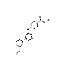 C/N=C/c1cccc(-c2cncc(OC3CCN(C(=O)OC(C)(C)C)CC3)c2)c1